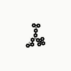 c1ccc(C2(c3ccccc3)c3ccccc3-c3cc(N(c4ccc(-c5ccc(-n6c7ccccc7c7ccccc76)cc5)cc4)c4cccc(-c5cccc6c5sc5ccccc56)c4)ccc32)cc1